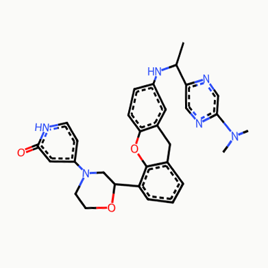 CC(Nc1ccc2c(c1)Cc1cccc(C3CN(c4cc[nH]c(=O)c4)CCO3)c1O2)c1cnc(N(C)C)cn1